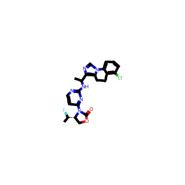 CC(Nc1nccc(N2C(=O)OC[C@@H]2C(C)F)n1)c1ncn2c1CCc1c(Cl)cccc1-2